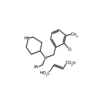 Cc1cccc(CN(CC(C)C)C2CCNCC2)c1Cl.O=C(O)/C=C/C(=O)O